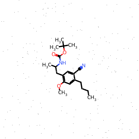 CCCCc1cc(OC)c(CC(C)NC(=O)OC(C)(C)C)cc1C#N